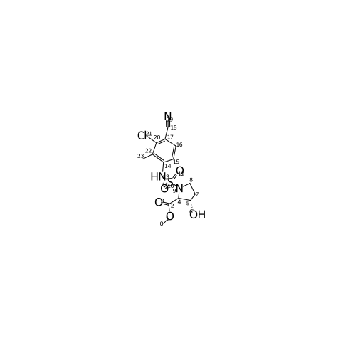 COC(=O)C1[C@@H](O)CCN1S(=O)(=O)Nc1ccc(C#N)c(Cl)c1C